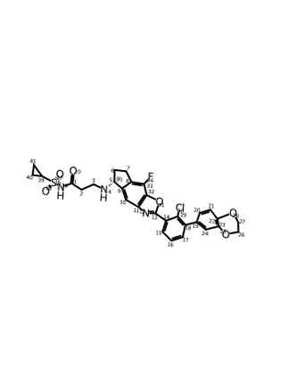 O=C(CCN[C@@H]1CCc2c1cc1nc(-c3cccc(-c4ccc5c(c4)OCCO5)c3Cl)oc1c2F)NS(=O)(=O)C1CC1